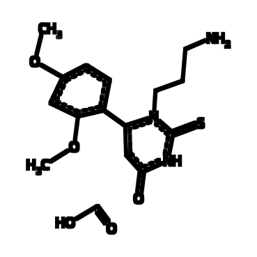 COc1ccc(-c2cc(=O)[nH]c(=S)n2CCCN)c(OC)c1.O=CO